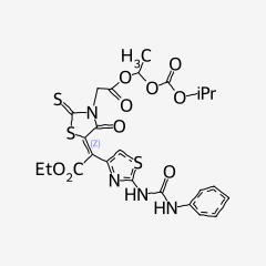 CCOC(=O)/C(=C1\SC(=S)N(CC(=O)OC(C)OC(=O)OC(C)C)C1=O)c1csc(NC(=O)Nc2ccccc2)n1